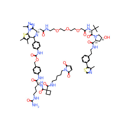 Cc1ncsc1-c1cccc(CCNC(=O)[C@@H]2C[C@@H](O)CN2C(=O)[C@@H](NC(=O)COCCOCCOCCNC(=O)C[C@@H]2N=C(c3ccc(NC(=O)OCc4ccc(NC(=O)[C@H](CCCNC(N)=O)NC(=O)C5(C(=O)NCCCCCN6C(=O)C=CC6=O)CCC5)cc4)cc3)c3c(sc(C)c3C)-n3c(C)nnc32)C(C)(C)C)c1